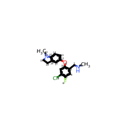 CNCc1cc(F)c(Cl)cc1Oc1ccc2c(c1)CCN2C